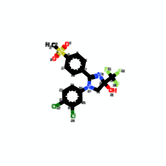 CS(=O)(=O)c1ccc(C2=NC(O)(C(F)(F)F)CN2c2ccc(Cl)c(Cl)c2)cc1